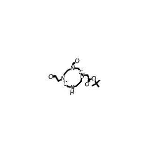 CC(C)(C)OC(=O)CN1CCNCCN(CC=O)CCN(C=O)CC1